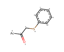 CC(=O)C(=O)CSc1ccccc1